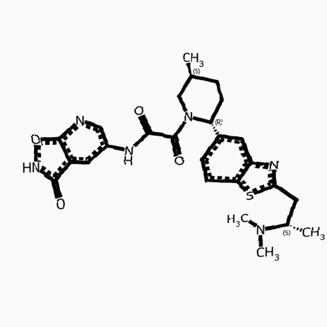 C[C@H]1CC[C@H](c2ccc3sc(C[C@H](C)N(C)C)nc3c2)N(C(=O)C(=O)Nc2cnc3o[nH]c(=O)c3c2)C1